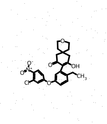 CCc1ccc(Oc2ccc([N+](=O)[O-])c(Cl)c2)cc1C1=C(O)CC2(CCOCC2)CC1=O